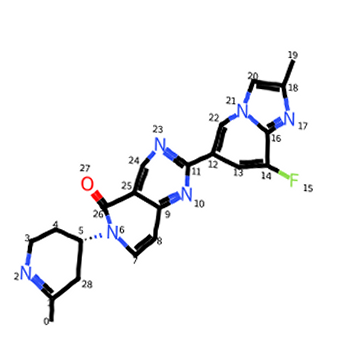 CC1=NCC[C@H](n2ccc3nc(-c4cc(F)c5nc(C)cn5c4)ncc3c2=O)C1